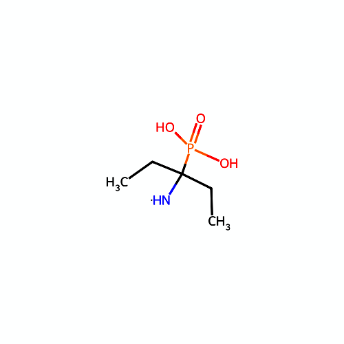 CCC([NH])(CC)P(=O)(O)O